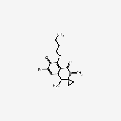 CCCCOc1c2n(cc(Br)c1=O)[C@H](C)C1(CC1)N(C)C2=O